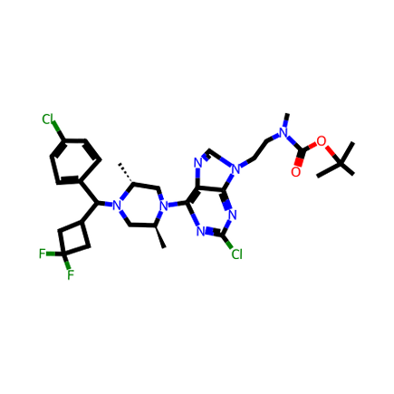 C[C@@H]1CN(c2nc(Cl)nc3c2ncn3CCN(C)C(=O)OC(C)(C)C)[C@@H](C)CN1C(c1ccc(Cl)cc1)C1CC(F)(F)C1